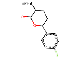 CCCCCC1CCC(c2ccc(F)cc2)OC1=O